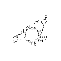 C[C@@H]1COCCN1CCO[C@H]1/C=C/CCN(C)C(=O)C[C@](O)(C(=O)O)c2ccc3c(c2)N(CCCCc2cc(Cl)ccc2CO3)C[C@@H]2CC[C@H]21